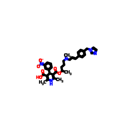 CC1=C(C(=O)O)C(c2cccc([N+](=O)[O-])c2)C(C(=O)OC(C)CCCN(C)C/C=C/c2ccc(Cn3ccnc3)cc2)=C(C)N1